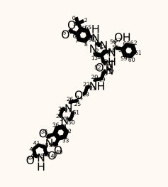 CC1(C)OC(=O)c2ccc(Nc3ncc(-c4nnc(CCNCCOCCN5CCN(c6ccc7c(c6)C(=O)N(C6CCC(=O)NC6=O)C7=O)CC5)o4)c(N[C@H](CO)c4ccccc4)n3)cc21